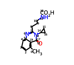 Cc1cccc2nc(CCCNC(=O)O)n(C3CC3)c(=O)c12